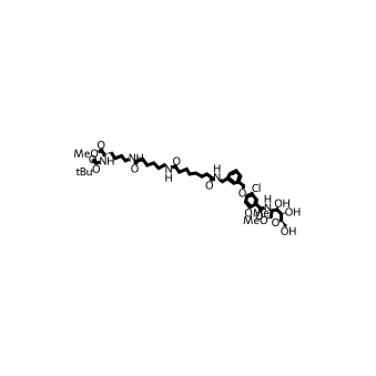 COC(=O)[C@H](CCCCNC(=O)CCCCCNC(=O)CCCCCCC(=O)NCc1cccc(COc2cc(OC)c(C(=O)N[C@H]3[C@@H](OC)O[C@H](CO)[C@@H](O)[C@@H]3O)cc2Cl)c1)NC(=O)OC(C)(C)C